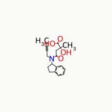 CC#CCN(C(=O)CC(C)(O)C(=O)O)C1CCc2ccccc21